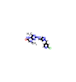 Cc1nc(NCc2cnn(Cc3ccnc(Cl)c3)c2)nc2c1NC(=O)CN2C